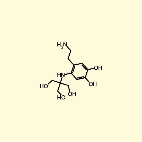 NCCc1cc(O)c(O)cc1NC(CO)(CO)CO